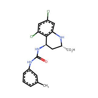 Cc1cccc(NC(=O)N[C@@H]2C[C@@H](C(=O)O)Nc3cc(Cl)cc(Cl)c32)c1